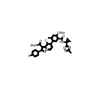 CNC(=O)c1c(-c2ccc(F)cc2)nn2ccc(-c3cc(C(=O)NC4(c5nc(C)no5)CC4)c(OC)cc3C)c(F)c12